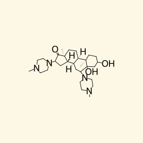 CN1CCN(C2C[C@H]3[C@@H]4CC(N5CCN(C)CC5)C5(O)CC(O)CC[C@]5(C)[C@@H]4CC[C@]3(C)C2=O)CC1